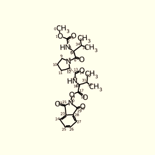 COC(=O)N[C@H](C(=O)N1CCC[C@H]1C(=O)N[C@H](C(=O)ON1C(=O)c2ccccc2C1=O)C(C)C)C(C)C